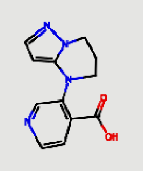 O=C(O)c1ccncc1N1CCCn2nccc21